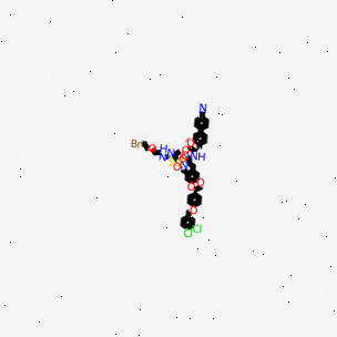 COC(=O)[C@H](Cc1ccc(-c2ccc(C#N)cc2)cc1)NC(=O)C1Cc2cc3c(cc2CN1S(=O)(=O)c1sc(NCCOCCBr)nc1C)O[C@@H](c1ccc(OCc2ccc(Cl)c(Cl)c2)cc1)CO3